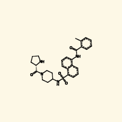 Cc1ccccc1C(=O)Nc1cccc2c(S(=O)(=O)NC3CCN(C(=O)[C@@H]4CCCN4)CC3)cccc12